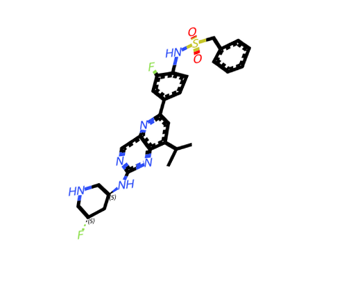 CC(C)c1cc(-c2ccc(NS(=O)(=O)Cc3ccccc3)c(F)c2)nc2cnc(N[C@@H]3CNC[C@@H](F)C3)nc12